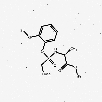 CCOc1ccccc1OP(=O)(COC)N[C@@H](C)C(=O)OC(C)C